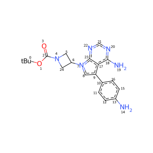 CC(C)(C)OC(=O)N1CC(n2cc(-c3ccc(N)cc3)c3c(N)ncnc32)C1